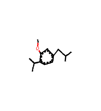 COc1cc(CC(C)C)ccc1C(C)C